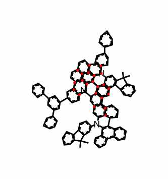 CC1(C)c2ccccc2-c2ccc(N(c3ccc(-c4cccc(-c5c(N(c6ccc(-c7ccccc7)cc6)c6ccc7c(c6)C(C)(C)c6ccccc6-7)c6ccccc6c6ccccc56)c4)cc3)c3c(-c4cccc(-c5ccc(N(c6ccc(-c7cc(-c8ccccc8)cc(-c8ccccc8)c7)cc6)c6c(-c7ccccc7)c7ccccc7c7ccccc67)cc5)c4)c4ccccc4c4ccccc34)cc21